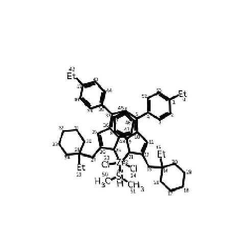 CCc1ccc(-c2cccc3c2C=C(CC2(CC)CCCCC2)[CH]3[Zr]([Cl])([Cl])([CH]2C(CC3(CC)CCCCC3)=Cc3c(-c4ccc(CC)cc4)cccc32)[SiH](C)C)cc1